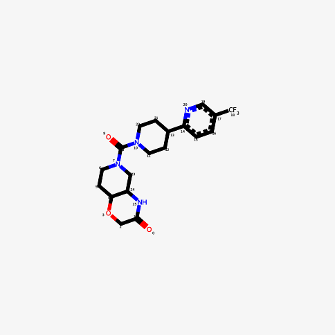 O=C1COC2CCN(C(=O)N3CCC(c4ccc(C(F)(F)F)cn4)CC3)CC2N1